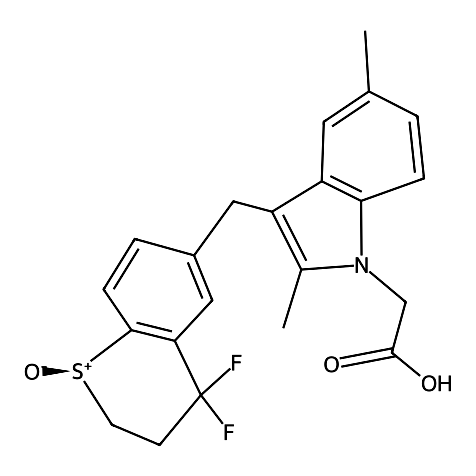 Cc1ccc2c(c1)c(Cc1ccc3c(c1)C(F)(F)CC[S@@+]3[O-])c(C)n2CC(=O)O